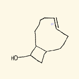 OC1CC2CC/C=C/CCC12